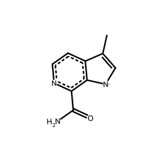 CC1=C[N]c2c1ccnc2C(N)=O